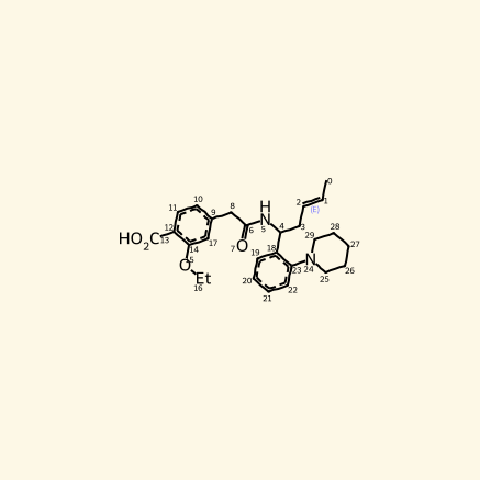 C/C=C/CC(NC(=O)Cc1ccc(C(=O)O)c(OCC)c1)c1ccccc1N1CCCCC1